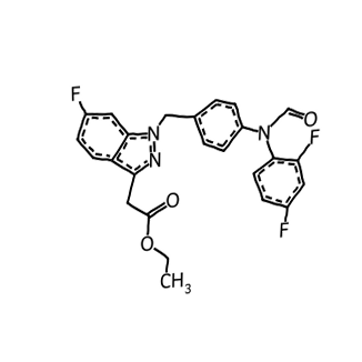 CCOC(=O)Cc1nn(Cc2ccc(N(C=O)c3ccc(F)cc3F)cc2)c2cc(F)ccc12